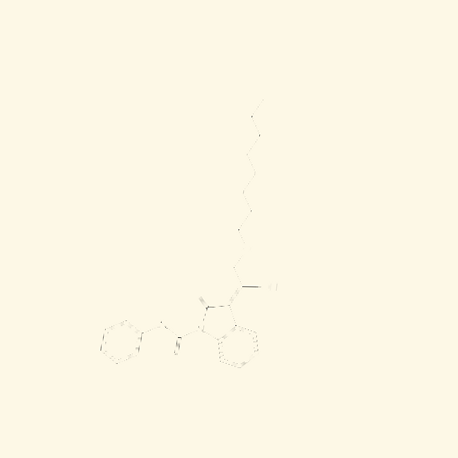 CCCCCCCCOCC(O)=C1C(=O)N(C(=O)Nc2ccccc2)c2ccccc21